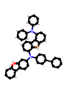 c1ccc(-c2ccc(N(c3ccc4c(c3)oc3ccccc34)c3cccc4c3sc3cccc(N(c5ccccc5)c5ccccc5)c34)cc2)cc1